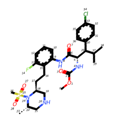 COC(=O)N[C@H](C(=O)Nc1cccc(F)c1CC[C@H]1CNC[C@H](C)N1S(C)(=O)=O)C(c1ccc(Cl)cc1)C(C)C